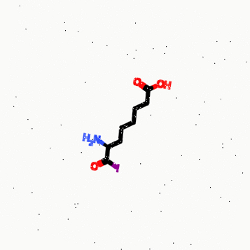 N[C@@H](CCCCCC(=O)O)C(=O)I